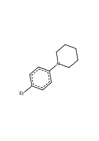 CCc1ccc(N2CCCCC2)cc1